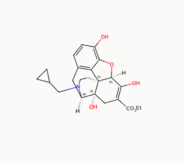 CCOC(=O)C1=C(O)[C@@H]2Oc3c(O)ccc4c3[C@@]23CCN(CC2CC2)[C@H](C4)[C@]3(O)C1